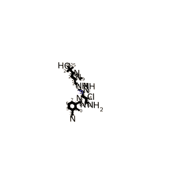 Cc1c(C#N)cccc1-c1nc(N)c(Cl)c(/C(=C/NCc2cc(C(C)(C)O)nn2C)N=N)n1